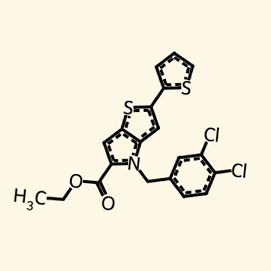 CCOC(=O)c1cc2sc(-c3cccs3)cc2n1Cc1ccc(Cl)c(Cl)c1